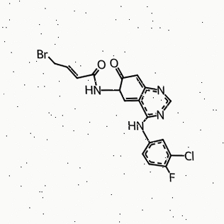 O=C(C=CCBr)NC1C=c2c(Nc3ccc(F)c(Cl)c3)ncnc2=CC1=O